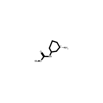 CC(C)(C)OC(=O)NC1CCC[C@H](N)C1